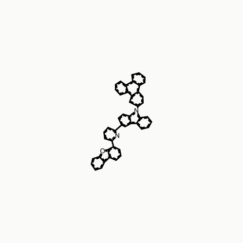 c1cc(-c2ccc3c(c2)c2ccccc2n3-c2ccc3c4ccccc4c4ccccc4c3c2)nc(-c2cccc3c2oc2ccccc23)c1